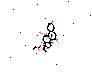 CCC(=O)O[C@@]1(C(=O)CF)[C@@H](C)C[C@H]2[C@@H]3[C@H](Cl)[C@@H](F)C4=CC(=O)C=C[C@]4(C)[C@@]3(F)[C@@H](O)C[C@@]21C